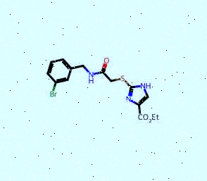 CCOC(=O)c1c[nH]c(SCC(=O)NCc2cccc(Br)c2)n1